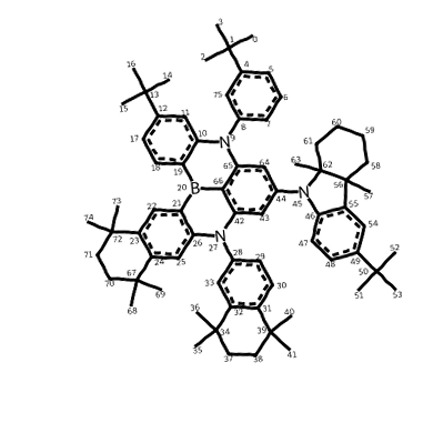 CC(C)(C)c1cccc(N2c3cc(C(C)(C)C)ccc3B3c4cc5c(cc4N(c4ccc6c(c4)C(C)(C)CCC6(C)C)c4cc(N6c7ccc(C(C)(C)C)cc7C7(C)CCCCC67C)cc2c43)C(C)(C)CCC5(C)C)c1